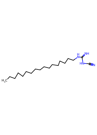 CCCCCCCCCCCCCCCCCNC(=N)NC#N